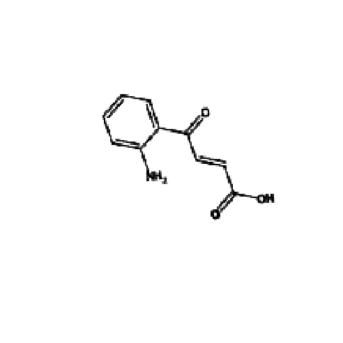 Nc1ccccc1C(=O)C=CC(=O)O